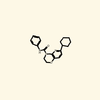 O=C(Nc1ccccc1)N1CCOc2ccc(C3CCCCC3)nc21